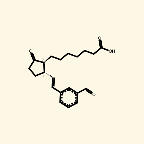 O=Cc1cccc(C=C[C@@H]2CCC(=O)[C@H]2CCCCCCC(=O)O)c1